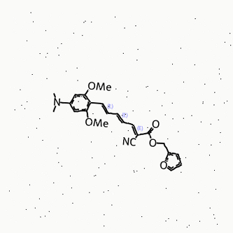 COc1cc(N(C)C)cc(OC)c1/C=C/C=C/C=C(\C#N)C(=O)OCc1ccco1